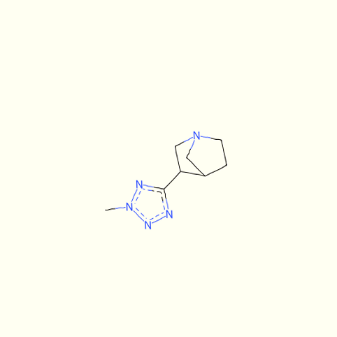 Cn1nnc(C2CN3CCC2C3)n1